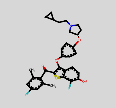 Cc1cc(F)cc(C)c1C(=O)c1sc2c(F)c(O)ccc2c1Oc1ccc(O[C@H]2CCN(CCC3CC3)C2)cc1